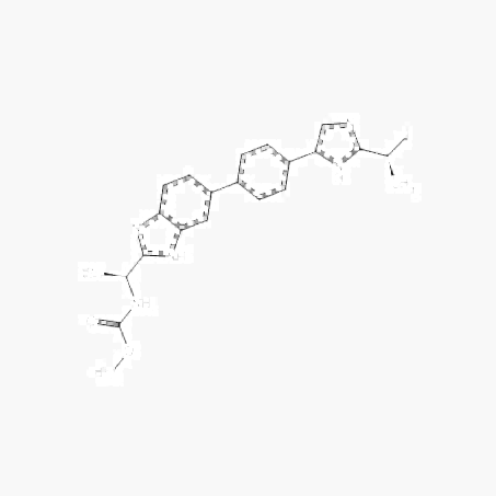 C[C@H](I)c1ncc(-c2ccc(-c3ccc4nc([C@@H](NC(=O)OC(C)(C)C)C(C)(C)C)[nH]c4c3)cc2)[nH]1